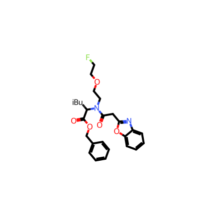 CCC(C)C(C(=O)OCc1ccccc1)N(CCOCCF)C(=O)Cc1nc2ccccc2o1